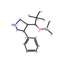 C[SiH](C)OC(C1CNCC1c1ccccc1)C(C)(C)C